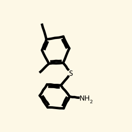 Cc1ccc(Sc2ccccc2N)c(C)c1